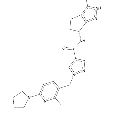 Cc1nc(N2CCCC2)ccc1Cn1cc(C(=O)N[C@@H]2CCc3c2n[nH]c3C)cn1